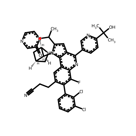 CC(c1cc2c(-c3ccc(C(C)(C)O)nc3)nc3c(F)c(-c4cccc(Cl)c4Cl)c(CCC#N)cc3c2n1[C@H]1[C@H]2CN[C@@H]1C2)n1ccncc1=O